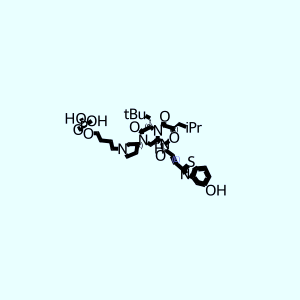 CC(C)C[C@H]1ON(C(=O)/C=C/c2nc3cc(O)ccc3s2)[C@H]2CN([C@@H]3CCN(CCCCOP(=O)(O)O)C3)C(=O)[C@H](CC(C)(C)C)N2C1=O